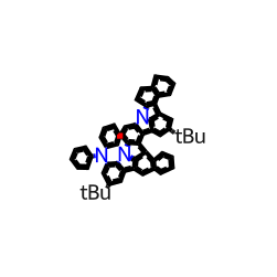 CC(C)(C)c1cc(N(c2ccccc2)c2ccccc2)c2c(c1)c1cc3ccccc3c3c4c5c6cc(C(C)(C)C)cc7c8c9ccccc9ccc8n(c5ccc4n2c13)c76